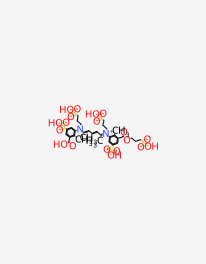 C\C(=C/C=C/C(C)=[N+](\CCCS(=O)(=O)O)c1cc(S(=O)(=O)O)cc(C(=O)OCCCS(=O)(=O)O)c1C)N(CCCS(=O)(=O)O)c1cc(S(=O)(=O)O)cc(C(=O)O)c1C